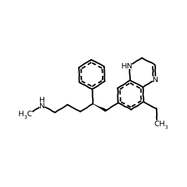 CCc1cc(C[C@@H](CCCNC)c2ccccc2)cc2c1N=CCN2